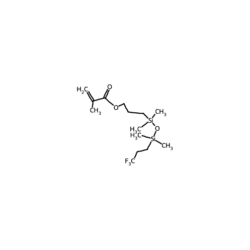 C=C(C)C(=O)OCCC[Si](C)(C)O[Si](C)(C)CCC(F)(F)F